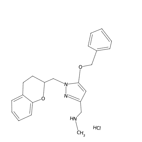 CNCc1cc(OCc2ccccc2)n(CC2CCc3ccccc3O2)n1.Cl